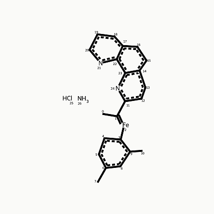 C/[C](=[Fe]\[c]1ccc(C)cc1C)c1ccc2ccc3cccnc3c2n1.Cl.N